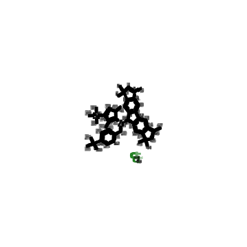 CC1=CC(C)(C)c2cc3c(cc21)-c1cc2c(cc1[CH]3/[Zr+2](=[CH]/c1ccc(C(C)(C)C)cc1)[C]1=C(C)C([Si](C)(C)C)=CC1C)C(C)(C)C=C2C.[Cl-].[Cl-]